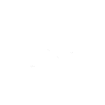 COc1ccn2c(=O)cc(OC)nc2c1